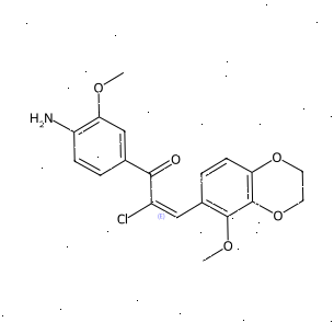 COc1cc(C(=O)/C(Cl)=C\c2ccc3c(c2OC)OCCO3)ccc1N